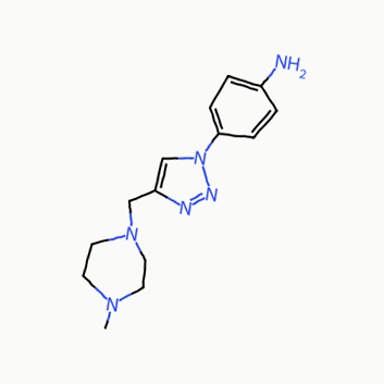 CN1CCN(Cc2cn(-c3ccc(N)cc3)nn2)CC1